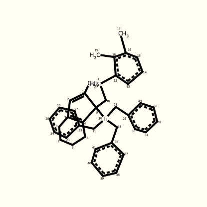 CC1=CC2=C(CCCC2)[C]1(C[SiH2]c1cccc(C)c1C)[Ti]([CH2]c1ccccc1)([CH2]c1ccccc1)[CH2]c1ccccc1